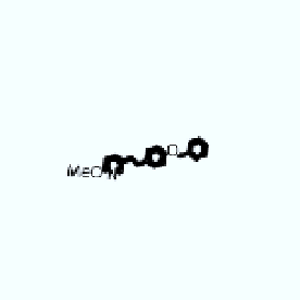 COc1ccc(CCc2ccc(OCc3ccccc3)cc2)cn1